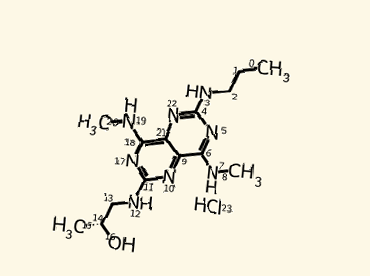 CCCNc1nc(NC)c2nc(NC[C@@H](C)O)nc(NC)c2n1.Cl